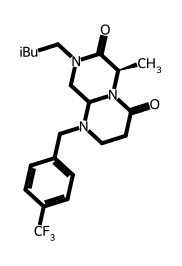 CCC(C)CN1CC2N(Cc3ccc(C(F)(F)F)cc3)CCC(=O)N2[C@H](C)C1=O